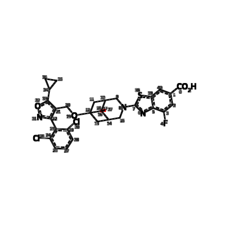 O=C(O)c1cc(F)c2nc(N3CC4CCCC(C3)C43CC(OCc4c(-c5c(Cl)cccc5Cl)noc4C4CC4)C3)sc2c1